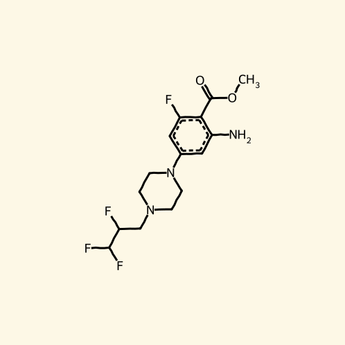 COC(=O)c1c(N)cc(N2CCN(CC(F)C(F)F)CC2)cc1F